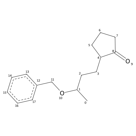 CC(CCC1CCCC1=O)OCc1ccccc1